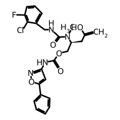 C=C(O)C[C@@H](COC(=O)Nc1cc(-c2ccccc2)on1)N(C)C(=O)NCc1cccc(F)c1Cl